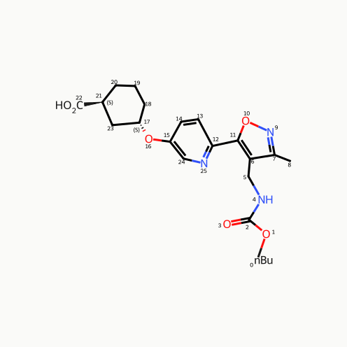 CCCCOC(=O)NCc1c(C)noc1-c1ccc(O[C@H]2CCC[C@H](C(=O)O)C2)cn1